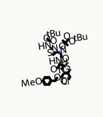 COc1ccc(COC(=O)C2=C(CCl)CS[C@@H]3[C@H](NC(=O)/C(=N/OC(C)(C)C(=O)OC(C)(C)C)c4csc(NC(=O)OC(C)(C)C)n4)C(=O)N23)cc1